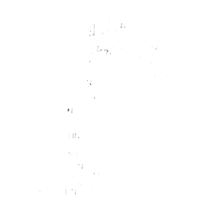 CNC(=O)C(CCC=O)N1C(=O)c2cccc(NCCN(C)CCC(=O)N3CCC(C4CCNc5c(C(N)=O)c(-c6ccc(Oc7ccccc7)cc6)nn54)CC3)c2C1=O